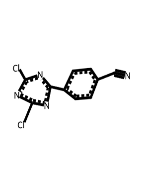 N#Cc1ccc(-c2nc(Cl)nc(Cl)n2)cc1